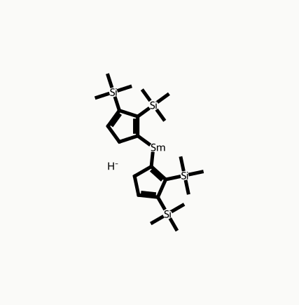 C[Si](C)(C)C1=CC[C]([Sm][C]2=C([Si](C)(C)C)C([Si](C)(C)C)=CC2)=C1[Si](C)(C)C.[H-]